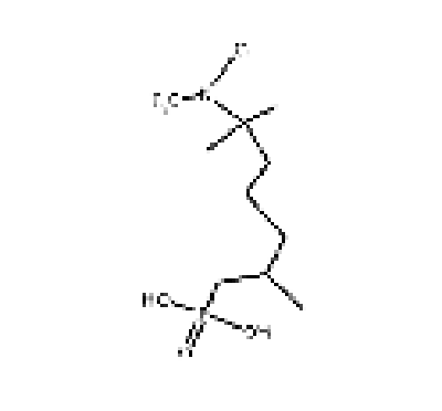 CC(CCCC(C)(C)N(Cl)C(F)(F)F)CP(=O)(O)O